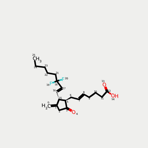 C=C1CC(=O)[C@H](CC=CCCCC(=O)O)[C@H]1C=CC(F)(F)CCCCC